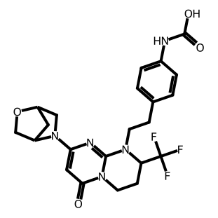 O=C(O)Nc1ccc(CCN2c3nc(N4CC5CC4CO5)cc(=O)n3CCC2C(F)(F)F)cc1